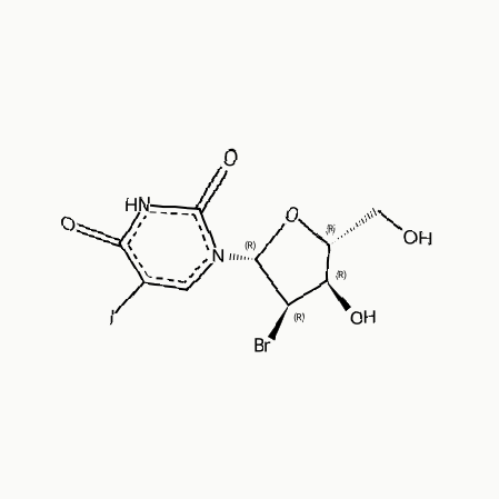 O=c1[nH]c(=O)n([C@@H]2O[C@H](CO)[C@@H](O)[C@H]2Br)cc1I